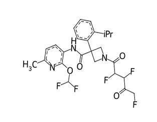 Cc1ccc(NC(=O)C2(c3ccccc3C(C)C)CN(C(=O)C(F)C(F)C(=O)CF)C2)c(OC(F)F)n1